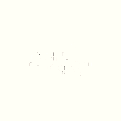 O=CCCc1cc(-n2ncc(C(=O)Nc3ccnc(C(F)(F)F)c3)c2C(F)(F)F)c2cccc3c2c1NC3